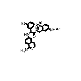 CCc1cccc(C(Nc2ccc3c(N)nccc3c2)C(=O)NCc2cc(NC(C)=O)ccc2S(=O)(=O)CC)c1